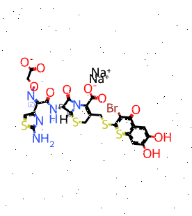 Nc1nc(/C(=N/OCC(=O)[O-])C(=O)N[C@@H]2C(=O)N3C(C(=O)[O-])=C(CSc4sc5cc(O)c(O)cc5c(=O)c4Br)CS[C@@H]23)cs1.[Na+].[Na+]